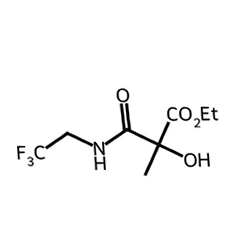 CCOC(=O)C(C)(O)C(=O)NCC(F)(F)F